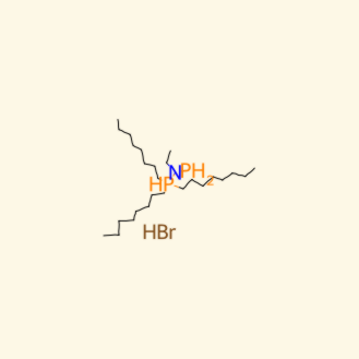 Br.CCCCCCCC[PH](CCCCCCCC)(CCCCCCCC)N(P)CC